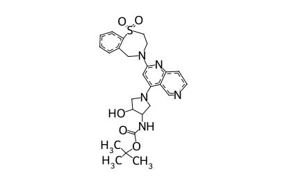 CC(C)(C)OC(=O)NC1CN(c2cc(N3CCS(=O)(=O)c4ccccc4C3)nc3ccncc23)CC1O